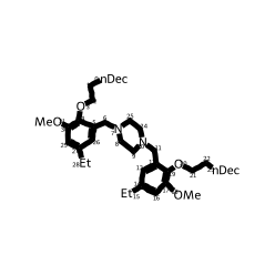 CCCCCCCCCCCCOc1c(CN2CCN(Cc3cc(CC)cc(OC)c3OCCCCCCCCCCCC)CC2)cc(CC)cc1OC